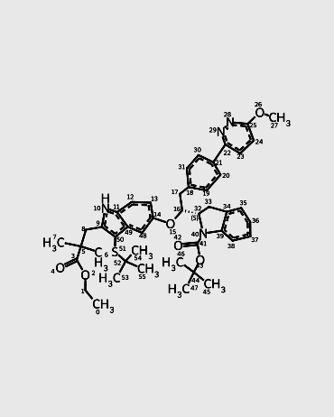 CCOC(=O)C(C)(C)Cc1[nH]c2ccc(OC(Cc3ccc(-c4ccc(OC)nn4)cc3)[C@@H]3Cc4ccccc4N3C(=O)OC(C)(C)C)cc2c1SC(C)(C)C